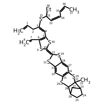 C=CC/C(=C\C1=C(C=C)S/C(=C2\Sc3cc4c(cc3S2)SC2(C)C3CCC(C3)C2S4)S1)SC(/C=C\C=C/C)CC